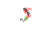 CC(F)(F)C(F)(F)COC(=O)c1ccc(Cc2c(O)c3ccccc3oc2=O)cc1